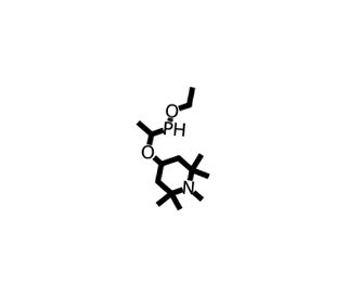 CCOPC(C)OC1CC(C)(C)N(C)C(C)(C)C1